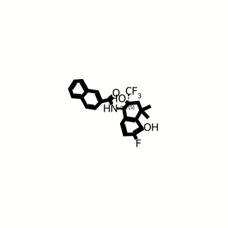 CC1(C)C[C@@](O)(C(F)(F)F)[C@H](NC(=O)c2ccc3ccccc3c2)c2ccc(F)c(O)c21